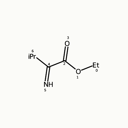 CCOC(=O)C(=N)C(C)C